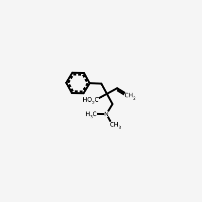 C=CC(Cc1ccccc1)(CN(C)C)C(=O)O